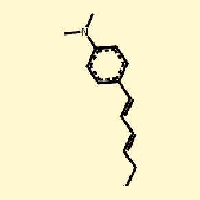 [CH2]CC=CC=Cc1ccc(N(C)C)cc1